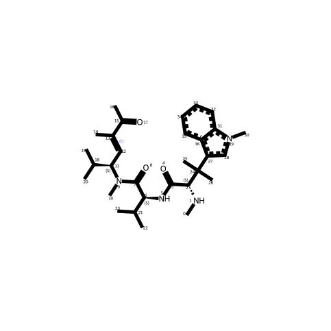 CN[C@H](C(=O)N[C@H](C(=O)N(C)[C@H](/C=C(\C)C(C)=O)C(C)C)C(C)C)C(C)(C)c1cn(C)c2ccccc12